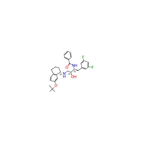 CC(C)(C)Oc1ccc2c(c1)[C@@H](NC[C@H](O)[C@H](Cc1cc(F)cc(F)c1)NC(=O)c1ccccc1)CCC2